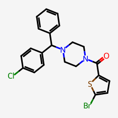 O=C(c1ccc(Br)s1)N1CCN(C(c2ccccc2)c2ccc(Cl)cc2)CC1